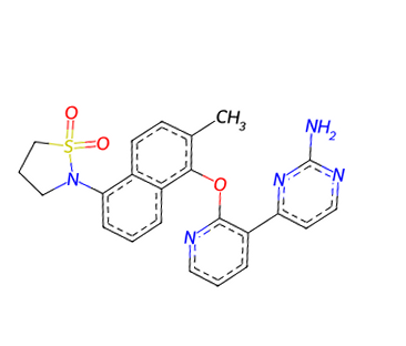 Cc1ccc2c(N3CCCS3(=O)=O)cccc2c1Oc1ncccc1-c1ccnc(N)n1